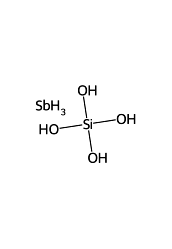 O[Si](O)(O)O.[SbH3]